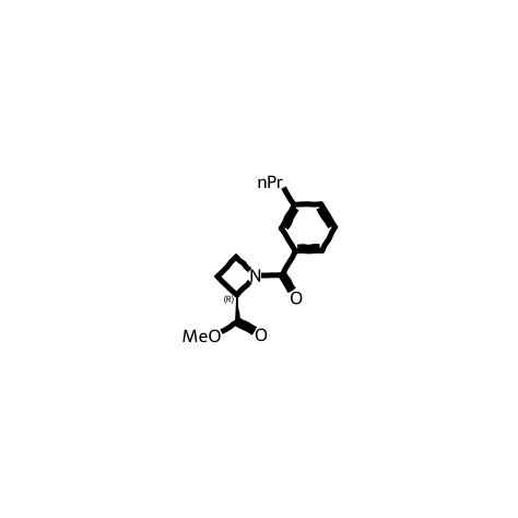 CCCc1cccc(C(=O)N2CC[C@@H]2C(=O)OC)c1